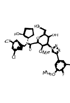 COc1cc(-c2cn(C3C(O)C(CO)OC(C(=O)N(c4cc(Cl)cc(Cl)c4)[C@H]4CCC[C@@H]4O)C3OC)nn2)cc(F)c1F